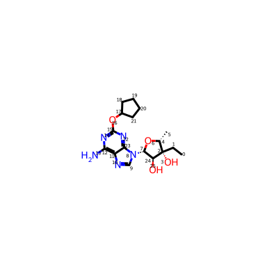 CC[C@]1(O)[C@@H](C)O[C@@H](n2cnc3c(N)nc(OC4CCCC4)nc32)[C@@H]1O